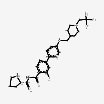 CCC(F)(CC)CN1CCC(COc2ccc(-c3ccc(C(=O)NC(=O)[C@@H]4CCCN4)c(F)c3)nc2)CC1